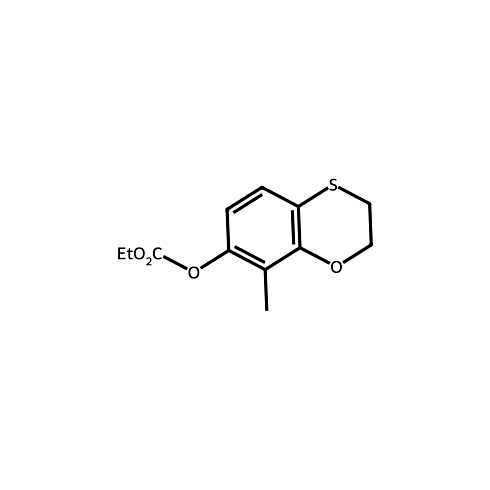 CCOC(=O)Oc1ccc2c(c1C)OCCS2